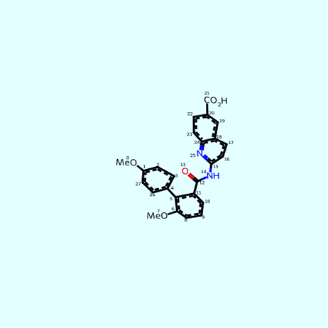 COc1ccc(-c2c(OC)cccc2C(=O)Nc2ccc3cc(C(=O)O)ccc3n2)cc1